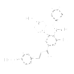 CN1CCN(c2cc(C(=O)/C=C/c3ccc(C(=O)O)cc3)cc(C(C)(C)C)c2N(C)Cc2ccccc2)CC1